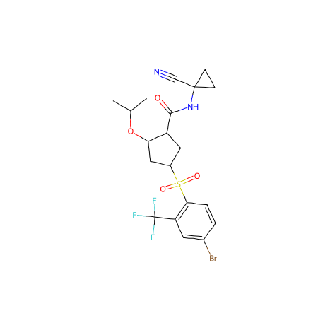 CC(C)OC1CC(S(=O)(=O)c2ccc(Br)cc2C(F)(F)F)CC1C(=O)NC1(C#N)CC1